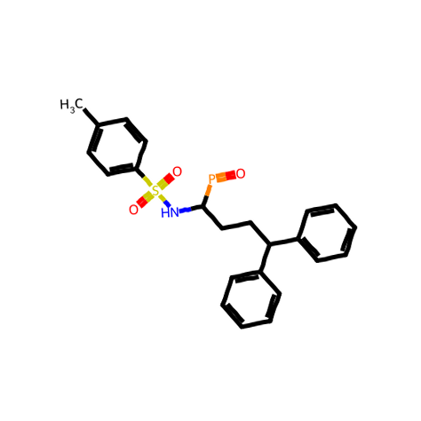 Cc1ccc(S(=O)(=O)NC(CCC(c2ccccc2)c2ccccc2)P=O)cc1